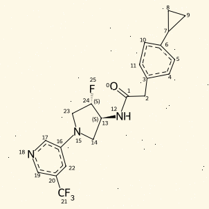 O=C(Cc1ccc(C2CC2)cc1)N[C@H]1CN(c2cncc(C(F)(F)F)c2)C[C@@H]1F